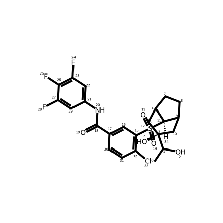 CC(O)[C@]1(O)CC2CCC(C1)[C@H]2S(=O)(=O)c1cc(C(=O)Nc2cc(F)c(F)c(F)c2)ccc1Cl